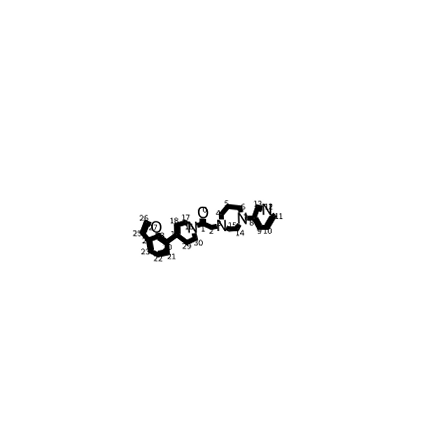 O=C(CN1CCCN(c2cccnc2)CC1)N1CC=C(c2cccc3ccoc23)CC1